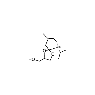 CC1CC[C@H](C(C)C)C2(C1)OCC(CO)O2